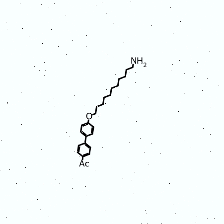 CC(=O)c1ccc(-c2ccc(OCCCCCCCCCCCN)cc2)cc1